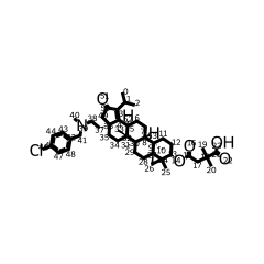 CC(C)C1=C2[C@H]3CC[C@@H]4[C@@]5(C)CC[C@H](OC(=O)CC(C)(C)C(=O)O)C6(C)C[C@]65CC[C@@]4(C)[C@]3(C)CC[C@@]2(CCN(C)Cc2ccc(Cl)cc2)CC1=O